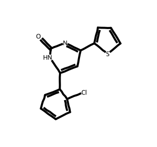 O=c1nc(-c2cccs2)cc(-c2ccccc2Cl)[nH]1